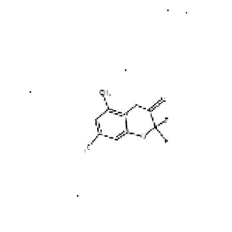 Cc1cc(C)c2c(c1)OC(F)(F)C(=O)C2